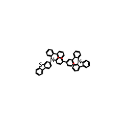 c1ccc(-c2ccccc2N(c2ccc(-c3cccc(-c4ccccc4-n4c5ccccc5c5ccccc54)c3)cc2)c2ccc3c(c2)sc2ccccc23)cc1